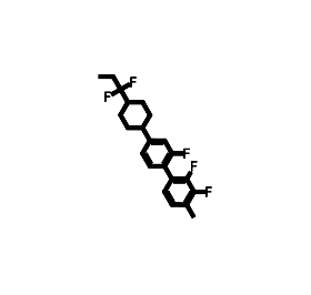 CCC(F)(F)C1CCC(c2ccc(-c3ccc(C)c(F)c3F)c(F)c2)CC1